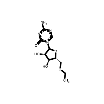 CCOC[C@H]1OC(n2cnc(N)nc2=O)[C@H](O)[C@@H]1O